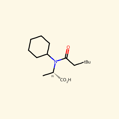 C[C@@H](C(=O)O)N(C(=O)CC(C)(C)C)C1CCCCC1